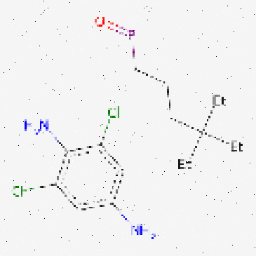 CCC(CC)(CC)CCCP=O.Nc1cc(Cl)c(N)c(Cl)c1